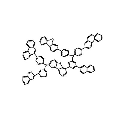 c1cc(-c2ccc3ccccc3c2)cc(N(c2ccc(-c3cc4ccccc4c4ccccc34)cc2)c2ccc3sc4c(-c5cc(-c6ccc7ccccc7c6)cc(N(c6ccc(-c7ccc8c(ccc9ccccc98)c7)cc6)c6ccc(-c7ccc8c(c7)oc7ccccc78)cc6)c5)cccc4c3c2)c1